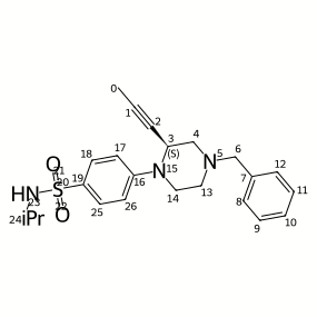 CC#C[C@H]1CN(Cc2ccccc2)CCN1c1ccc(S(=O)(=O)NC(C)C)cc1